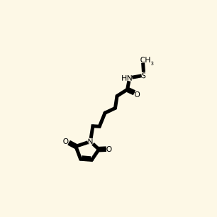 CSNC(=O)CCCCCN1C(=O)C=CC1=O